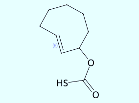 O=C(S)OC1/C=C/CCCCC1